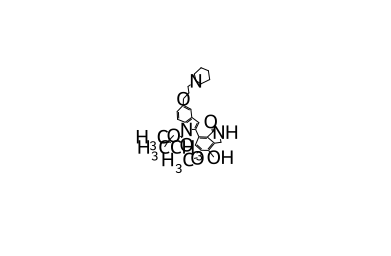 COc1cc(-c2cc3cc(OCCN4CCCCC4)ccc3n2C(=O)OC(C)(C)C)c2c(c1O)CNC2=O